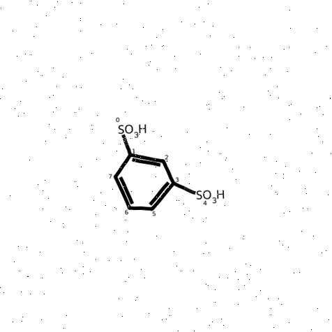 O=S(=O)(O)c1[c]c(S(=O)(=O)O)ccc1